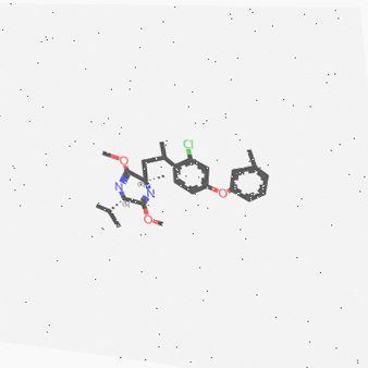 COC1=N[C@](C)(CC(C)c2ccc(Oc3cccc(C)c3)cc2Cl)C(OC)=N[C@H]1C(C)C